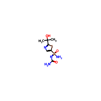 CC(C)(O)c1ncc(S(N)(=O)=NC(N)=O)s1